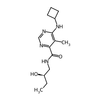 CC[C@@H](O)CNC(=O)c1ncnc(NC2CCC2)c1C